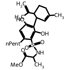 C=C(C)C1CCC(C)=CC1c1c(O)cc(CCCCC)c(S(=O)(=O)NC(C)C(=O)OC)c1O